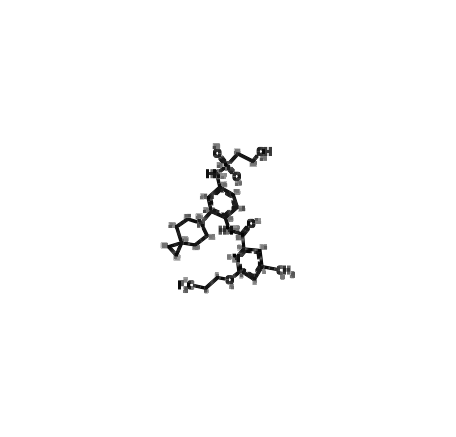 Cc1cc(OCCC(F)(F)F)nc(C(=O)Nc2ccc(NS(=O)(=O)CCO)cc2N2CCC3(CC2)CC3)c1